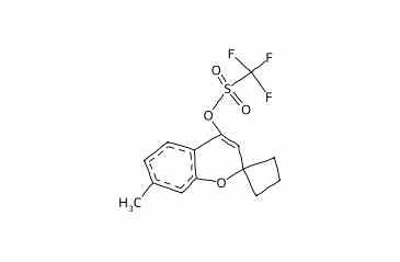 Cc1ccc2c(c1)OC1(C=C2OS(=O)(=O)C(F)(F)F)CCC1